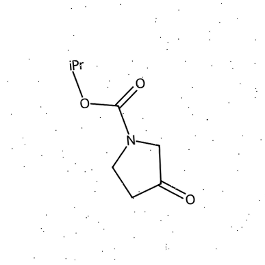 CC(C)OC(=O)N1CCC(=O)C1